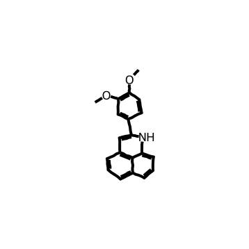 COc1ccc(C2=Cc3cccc4cccc(c34)N2)cc1OC